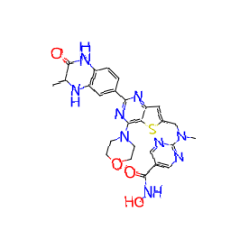 CC1Nc2cc(-c3nc(N4CCOCC4)c4sc(CN(C)c5ncc(C(=O)NO)cn5)cc4n3)ccc2NC1=O